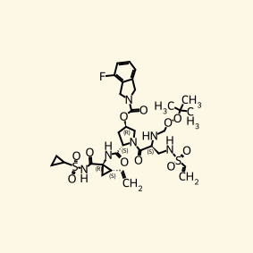 C=C[C@@H]1C[C@]1(NC(=O)[C@@H]1C[C@@H](OC(=O)N2Cc3cccc(F)c3C2)CN1C(=O)[C@H](CNS(=O)(=O)C=C)NCOOC(C)(C)C)C(=O)NS(=O)(=O)C1CC1